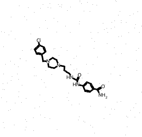 NC(=O)c1ccc(NC(=O)NCCCN2CCN(Cc3ccc(Cl)cc3)CC2)cc1